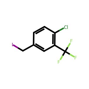 FC(F)(F)c1cc(CI)ccc1Cl